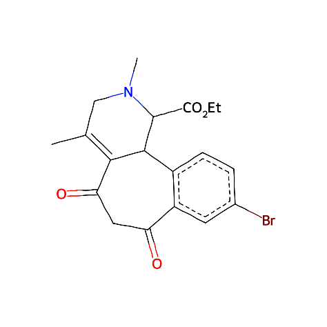 CCOC(=O)C1C2C(=C(C)CN1C)C(=O)CC(=O)c1cc(Br)ccc12